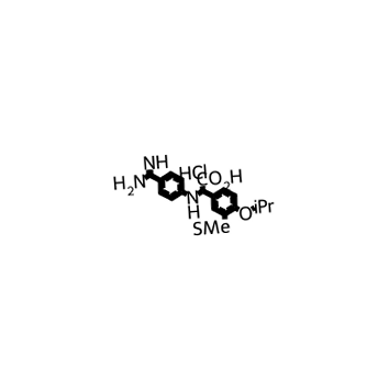 CSc1cc(C(Nc2ccc(C(=N)N)cc2)C(=O)O)ccc1OC(C)C.Cl